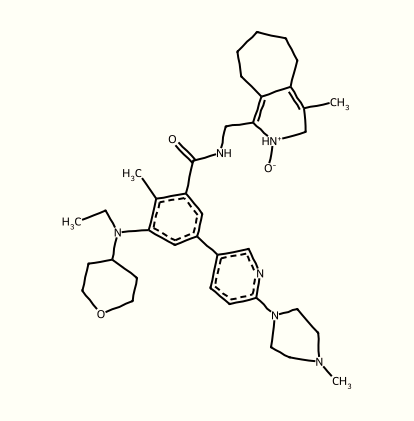 CCN(c1cc(-c2ccc(N3CCN(C)CC3)nc2)cc(C(=O)NCC2=C3CCCCCC3=C(C)C[NH+]2[O-])c1C)C1CCOCC1